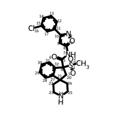 CS(=O)(=O)C1(C(=O)Nc2cc(-c3cccc(Cl)c3)no2)CC2(CCNCC2)c2ccccc21